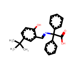 CC(C)(C)c1ccc(O)c(/C=N/C(C(=O)O)(c2ccccc2)c2ccccc2)c1